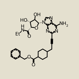 CCNC(=O)[C@H]1O[C@@H](n2cnc3c(N)nc(C#CCC4CCC(C(=O)OCc5ccccc5)CC4)nc32)C(O)[C@H]1O